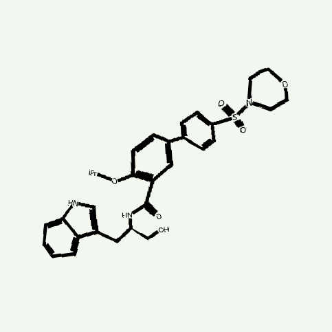 CC(C)Oc1ccc(-c2ccc(S(=O)(=O)N3CCOCC3)cc2)cc1C(=O)N[C@@H](CO)Cc1c[nH]c2ccccc12